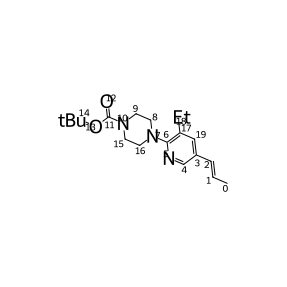 CC=Cc1cnc(N2CCN(C(=O)OC(C)(C)C)CC2)c(CC)c1